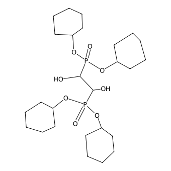 O=P(OC1CCCCC1)(OC1CCCCC1)C(O)C(O)P(=O)(OC1CCCCC1)OC1CCCCC1